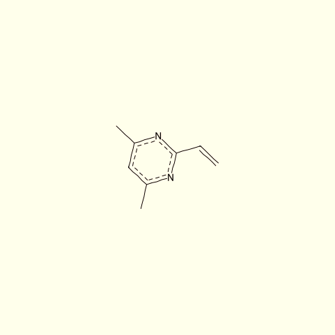 C=Cc1nc(C)cc(C)n1